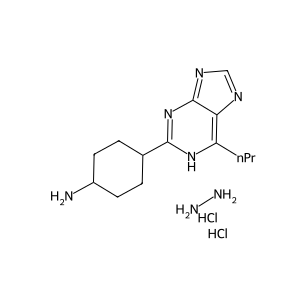 CCCc1[nH]c(C2CCC(N)CC2)nc2ncnc1-2.Cl.Cl.NN